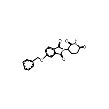 O=C1CCC(N2C(=O)c3ccc(OCc4ccccc4)cc3C2=O)C(=O)N1